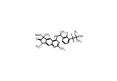 CO[C@]1(C)C(=O)N(C)c2cc3nc(C)nc(NC(C)c4cccc(C(F)(F)C(C)(C)O)c4F)c3cc21